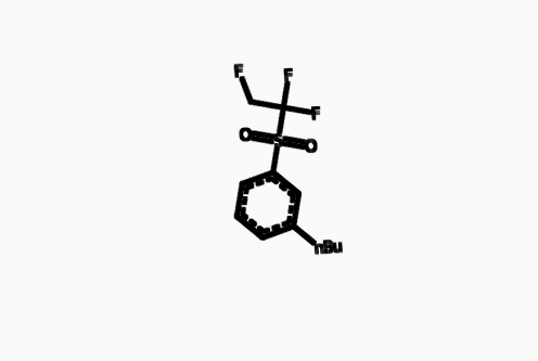 CCCCc1cccc(S(=O)(=O)C(F)(F)CF)c1